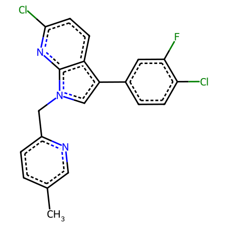 Cc1ccc(Cn2cc(-c3ccc(Cl)c(F)c3)c3ccc(Cl)nc32)nc1